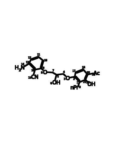 CCCc1c(OCC(O)COc2cccc(N)c2C#N)ccc(C(C)=O)c1O